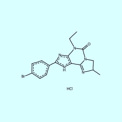 CCN1C(=O)N2CC(C)N=C2c2[nH]c(-c3ccc(Br)cc3)nc21.Cl